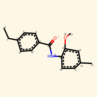 CCc1ccc(C(=O)Nc2ccc(C)cc2OC)cc1